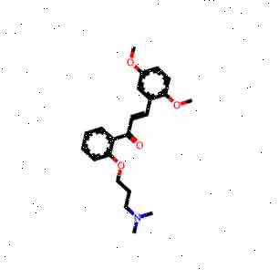 COc1ccc(OC)c(C=CC(=O)c2ccccc2OCCCN(C)C)c1